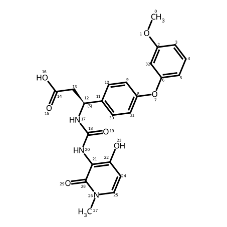 COc1cccc(Oc2ccc([C@H](CC(=O)O)NC(=O)Nc3c(O)ccn(C)c3=O)cc2)c1